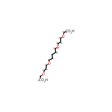 O=C(O)COCCCOCCCCCOCCCOCC(=O)O